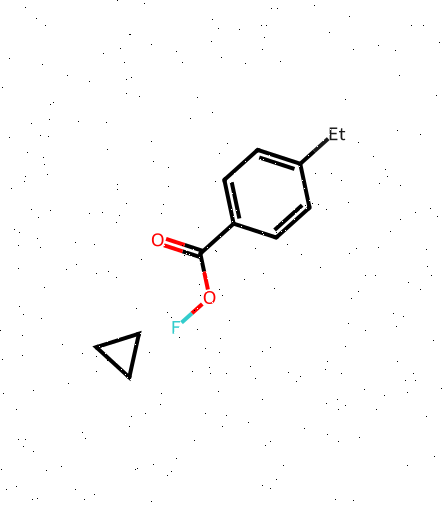 C1CC1.CCc1ccc(C(=O)OF)cc1